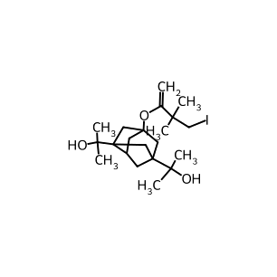 C=C(OC12CC3CC(C(C)(C)O)(C1)CC3(C(C)(C)O)C2)C(C)(C)CI